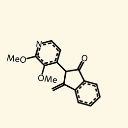 C=C1c2ccccc2C(=O)C1c1ccnc(OC)c1OC